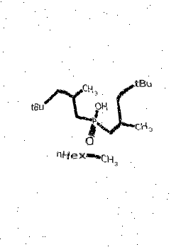 CC(CC(C)(C)C)CP(=O)(O)CC(C)CC(C)(C)C.CCCCCCC